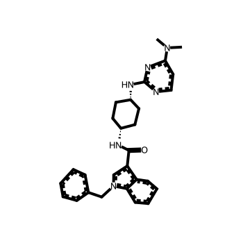 CN(C)c1ccnc(N[C@H]2CC[C@@H](NC(=O)c3cn(Cc4ccccc4)c4ccccc34)CC2)n1